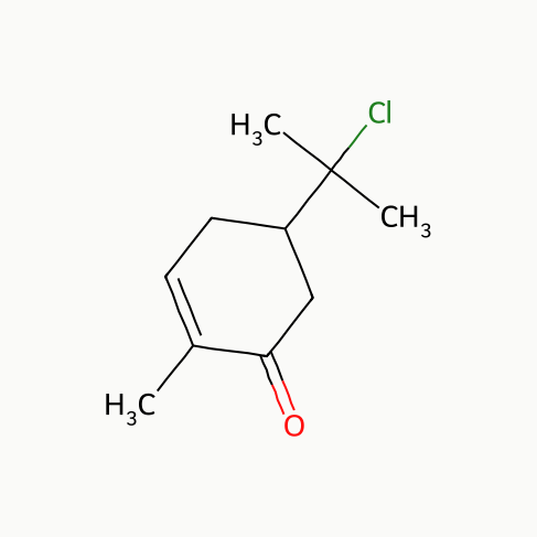 CC1=CCC(C(C)(C)Cl)CC1=O